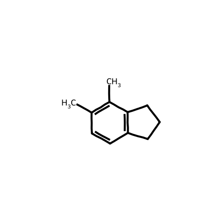 Cc1ccc2c(c1C)CCC2